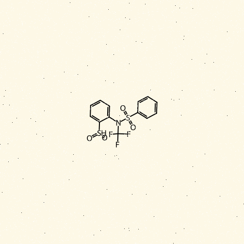 O=[SH](=O)c1ccccc1N(C(F)(F)F)S(=O)(=O)c1ccccc1